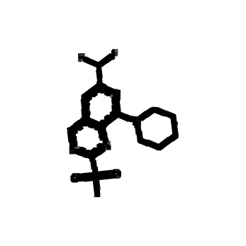 CS(=O)(=O)c1ncc2cc(C(F)F)nc(N3CCCCC3)c2n1